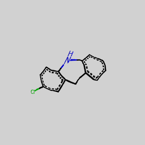 Clc1ccc2c(c1)Cc1ccccc1N2